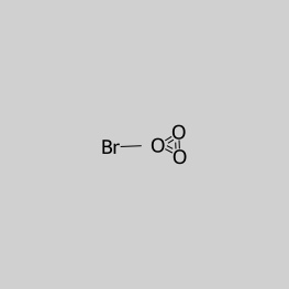 CBr.o1oo1